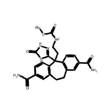 CC(C)(C)OC(=O)NCCC1(c2n[nH]c(=O)[nH]2)c2ccc(C(N)=O)cc2CCc2cc(C(N)=O)ccc21